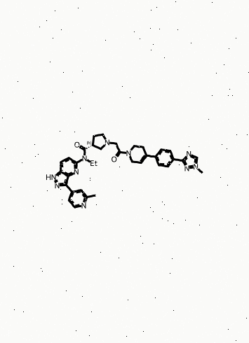 CCN(C(=O)[C@@H]1CCN(CC(=O)N2CC=C(c3ccc(-c4ncn(C)n4)cc3)CC2)C1)c1ccc2[nH]nc(-c3ccnc(C)c3)c2n1